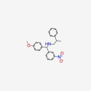 COc1ccc(C(NCC(C)c2ccccc2)c2cccc([N+](=O)[O-])c2)cc1